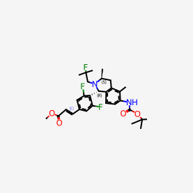 COC(=O)/C=C/c1cc(F)c([C@H]2c3ccc(NC(=O)OC(C)(C)C)c(C)c3C[C@H](C)N2CC(C)(C)F)c(F)c1